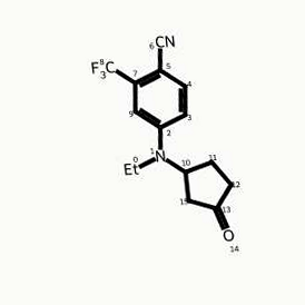 CCN(c1ccc(C#N)c(C(F)(F)F)c1)C1CCC(=O)C1